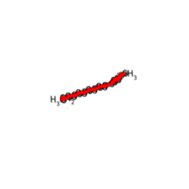 C=C(C)C(=O)OCCCCCC(=O)OCCCCCC(=O)OCCCCCC(=O)OCCCCCC(=O)OCCCCCC(=O)OCCCCCC(=O)OCCCCCC(=O)OCCCCCC(=O)OCCCCCCCCOc1ccc(C(=O)Oc2ccc(OC(=O)C3CCC(C4CCC(CCCCC)CC4)CC3)cc2)cc1